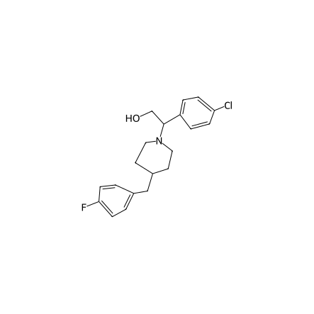 OCC(c1ccc(Cl)cc1)N1CCC(Cc2ccc(F)cc2)CC1